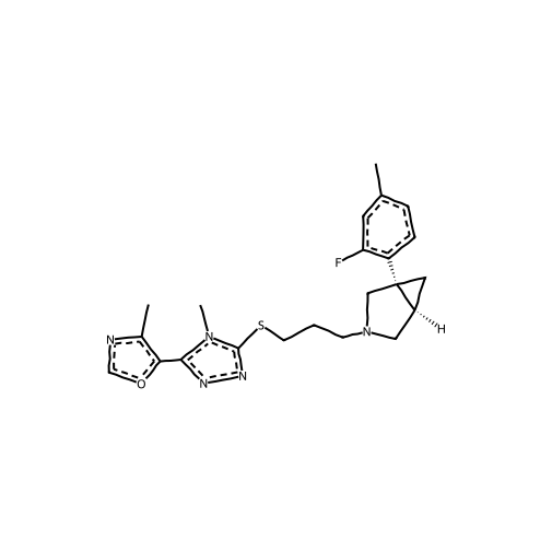 Cc1ccc([C@]23C[C@H]2CN(CCCSc2nnc(-c4ocnc4C)n2C)C3)c(F)c1